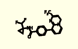 O=C(NC1(C(F)F)CC1)c1ccc(C2=CC=CN3CC=C(C(F)(F)F)N=C23)cc1